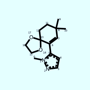 Cn1nccc1C1=CC(C)(C)CCC12OCCO2